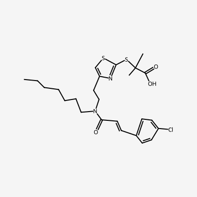 CCCCCCCN(CCc1csc(SC(C)(C)C(=O)O)n1)C(=O)/C=C/c1ccc(Cl)cc1